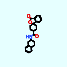 O=C1O[C@]2(CC[C@H](C(=O)NC3CCc4ccccc4C3)CC2)c2ccccc21